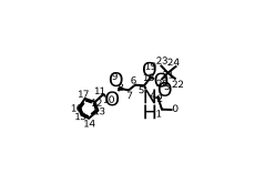 CCC(=O)NC(CCC(=O)OCc1ccccc1)C(=O)OC(C)(C)C